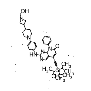 CC(C)[Si](C#Cc1cc(=O)n(-c2ccccc2)c2nc(Nc3ccc(N4CCC(C5CN(CO)C5)CC4)cc3)ncc12)(C(C)C)C(C)C